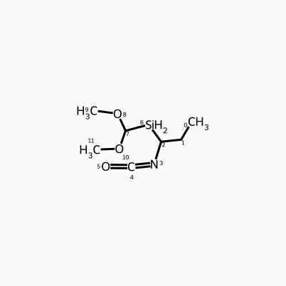 CCC(N=C=O)[SiH2]C(OC)OC